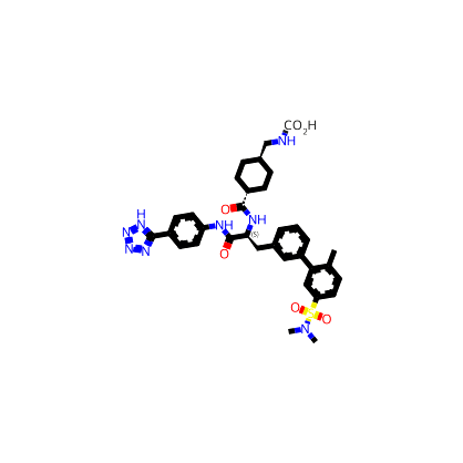 Cc1ccc(S(=O)(=O)N(C)C)cc1-c1cccc(C[C@H](NC(=O)[C@H]2CC[C@H](CNC(=O)O)CC2)C(=O)Nc2ccc(-c3nnn[nH]3)cc2)c1